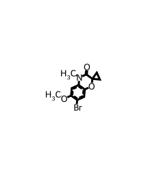 COc1cc2c(cc1Br)OC1(CC1)C(=O)N2C